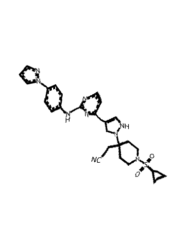 N#CCC1(N2CC(c3ccnc(Nc4ccc(-n5cccn5)cc4)n3)=CN2)CCN(S(=O)(=O)C2CC2)CC1